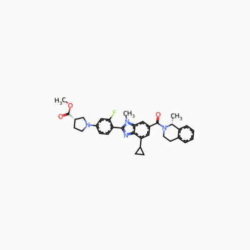 COC(=O)[C@H]1CCN(c2ccc(-c3nc4c(C5CC5)cc(C(=O)N5CCc6ccccc6[C@H]5C)cc4n3C)c(F)c2)C1